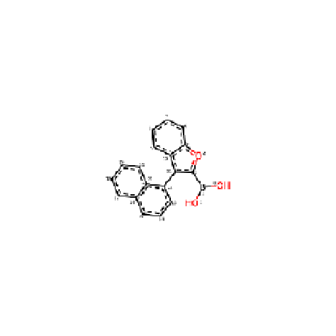 OB(O)c1oc2ccccc2c1-c1cccc2ccccc12